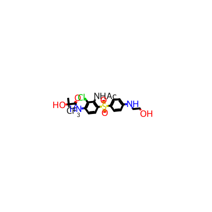 CC(=O)Nc1c(S(=O)(=O)c2ccc(NCCO)cc2)ccc(NC(=O)C(C)(O)C(F)(F)F)c1Cl